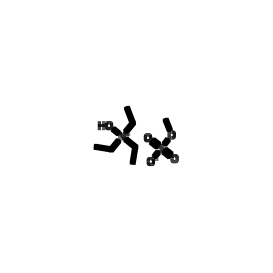 CC[N+](O)(CC)CC.COS(=O)(=O)[O-]